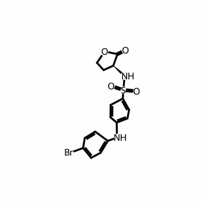 O=C1OCC[C@@H]1NS(=O)(=O)c1ccc(Nc2ccc(Br)cc2)cc1